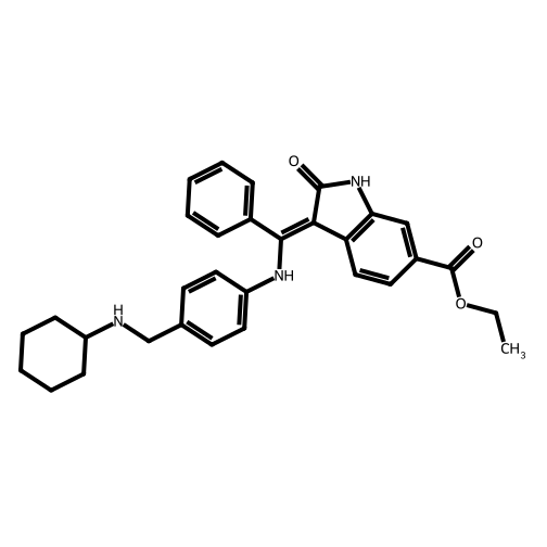 CCOC(=O)c1ccc2c(c1)NC(=O)C2=C(Nc1ccc(CNC2CCCCC2)cc1)c1ccccc1